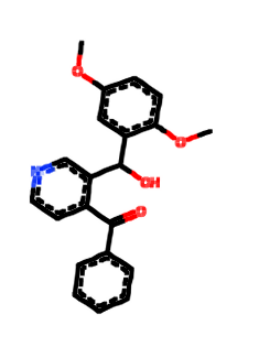 COc1ccc(OC)c(C(O)c2cnccc2C(=O)c2ccccc2)c1